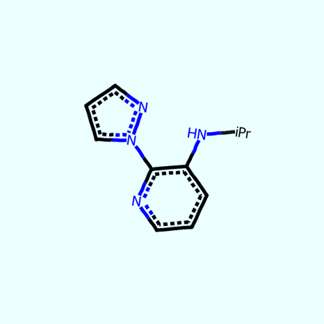 CC(C)Nc1cccnc1-n1cccn1